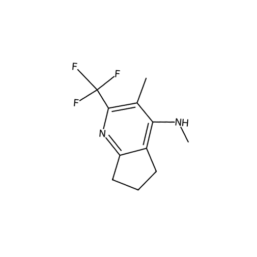 CNc1c(C)c(C(F)(F)F)nc2c1CCC2